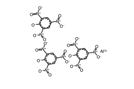 O=[N+]([O-])c1cc([N+](=O)[O-])c([O-])c([N+](=O)[O-])c1.O=[N+]([O-])c1cc([N+](=O)[O-])c([O-])c([N+](=O)[O-])c1.O=[N+]([O-])c1cc([N+](=O)[O-])c([O-])c([N+](=O)[O-])c1.[Al+3]